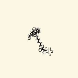 C=C(C)C(=O)OCCCCCCSC(=N/CC)/C(C)=C\NC=S